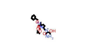 CC(O)C(C(N)=O)N(C)CC1CCC2(CN(OCc3ccccc3)C2=O)N1C(=O)OC(C)(C)C